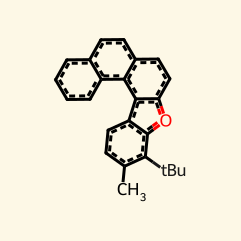 Cc1ccc2c(oc3ccc4ccc5ccccc5c4c32)c1C(C)(C)C